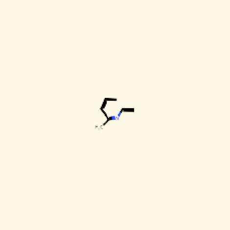 C=C/N=C(\C=C/C)C(F)(F)F